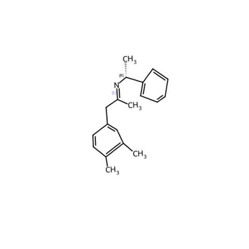 C/C(Cc1ccc(C)c(C)c1)=N\[C@H](C)c1ccccc1